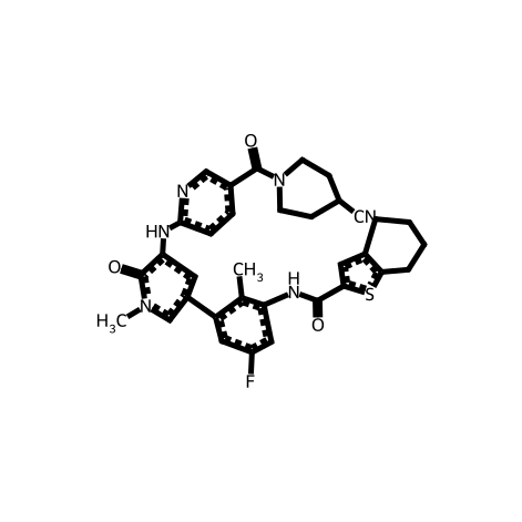 Cc1c(NC(=O)c2cc3c(s2)CCCC3)cc(F)cc1-c1cc(Nc2ccc(C(=O)N3CCC(C#N)CC3)cn2)c(=O)n(C)c1